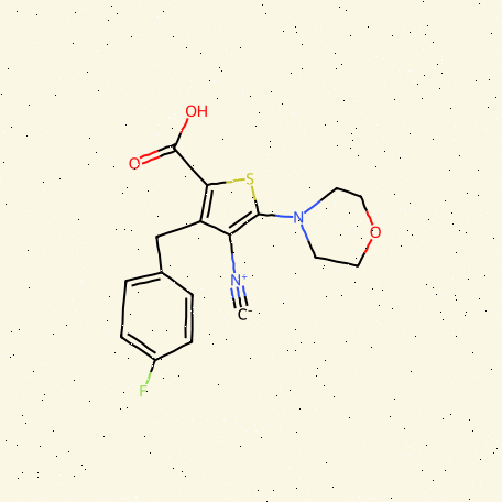 [C-]#[N+]c1c(N2CCOCC2)sc(C(=O)O)c1Cc1ccc(F)cc1